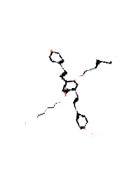 CCCCCCOc1cc(/C=C/c2ccc(O)cc2)c(OCCCCCC)cc1/C=C/c1ccc(O)cc1